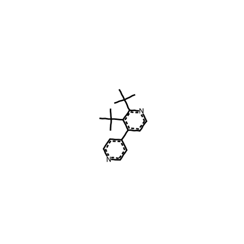 CC(C)(C)c1nccc(-c2ccncc2)c1C(C)(C)C